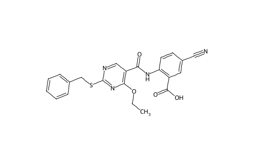 CCOc1nc(SCc2ccccc2)ncc1C(=O)Nc1ccc(C#N)cc1C(=O)O